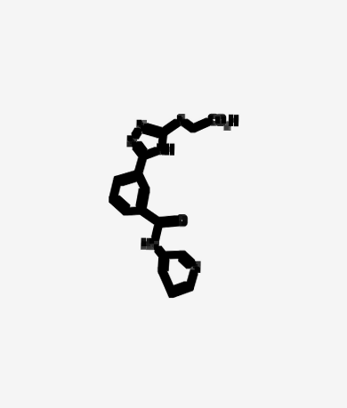 O=C(O)CSc1nnc(-c2cccc(C(=O)Nc3cccnc3)c2)[nH]1